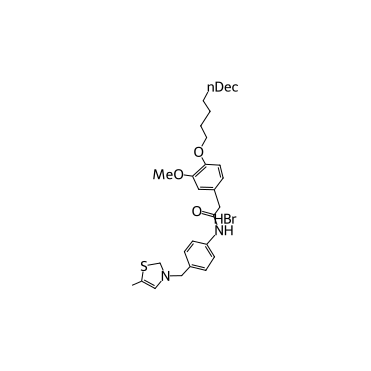 Br.CCCCCCCCCCCCCCOc1ccc(CC(=O)Nc2ccc(CN3C=C(C)SC3)cc2)cc1OC